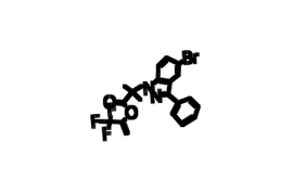 C=C(OC(=O)C(C)(C)Cn1nc(-c2ccccc2)c2cc(Br)ccc21)C(F)(F)F